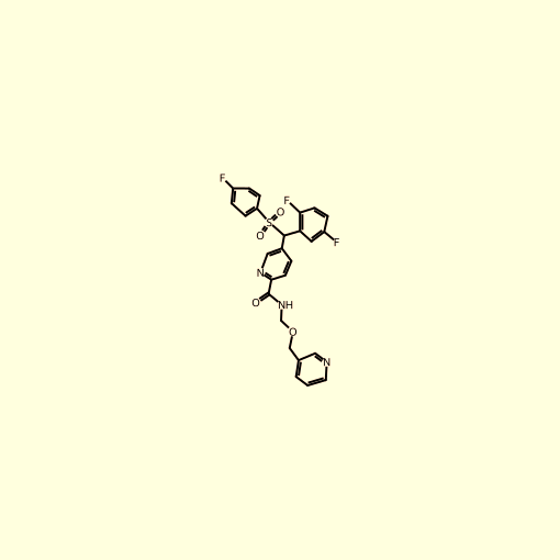 O=C(NCOCc1cccnc1)c1ccc(C(c2cc(F)ccc2F)S(=O)(=O)c2ccc(F)cc2)cn1